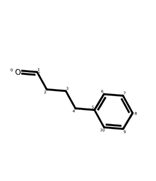 O=[C]CCCc1ccccc1